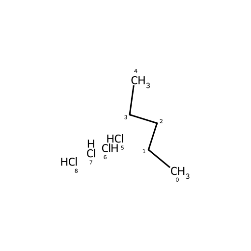 CCCCC.Cl.Cl.Cl.Cl